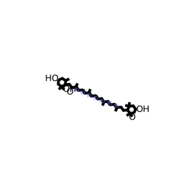 CC(/C=C/C=C(\C)CCC1C(C)(C)CC(O)C2OC21C)=C\C=C\C=C(C)\C=C\C=C(/C)C(=O)CC1(O)C(C)CC(O)CC1(C)C